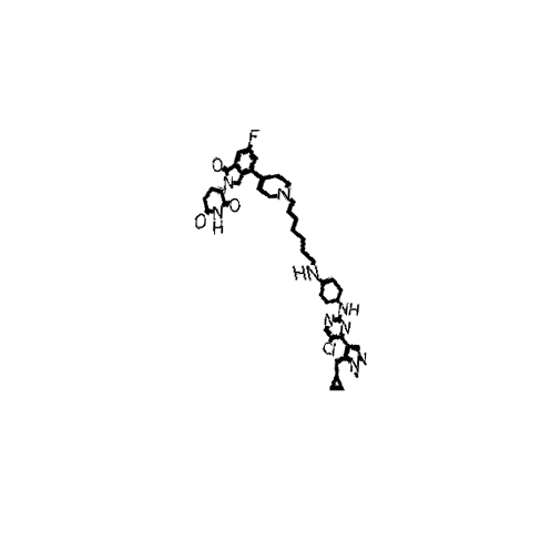 Cn1ncc(-c2nc(NC3CCC(NCCCCCCCN4CCC(c5cc(F)cc6c5CN([C@H]5CCC(=O)NC5=O)C6=O)CC4)CC3)ncc2Cl)c1CC1CC1